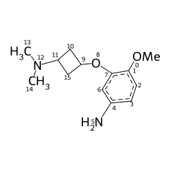 COc1ccc(N)cc1OC1CC(N(C)C)C1